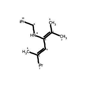 CC(C)=C(/C=C(\C)C(C)C)NCC(C)C